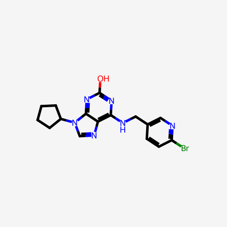 Oc1nc(NCc2ccc(Br)nc2)c2ncn(C3CCCC3)c2n1